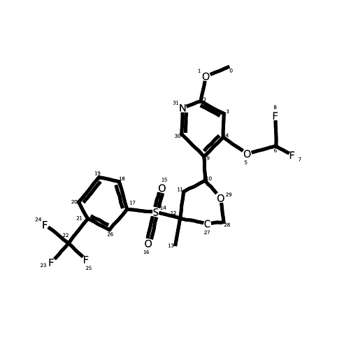 COc1cc(OC(F)F)c(C2CC(C)(S(=O)(=O)c3cccc(C(F)(F)F)c3)CCO2)cn1